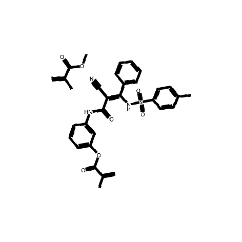 C=C(C)C(=O)OC.C=C(C)C(=O)Oc1cccc(NC(=O)C(C#N)=C(NS(=O)(=O)c2ccc(C)cc2)c2ccccc2)c1